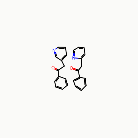 O=C(Cc1ccccn1)c1ccccc1.O=C(Cc1cccnc1)c1ccccc1